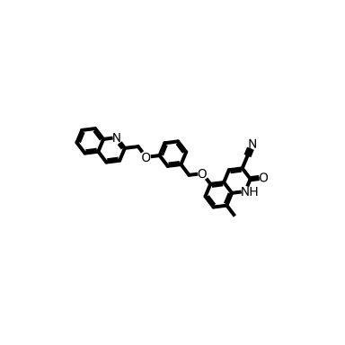 Cc1ccc(OCc2cccc(OCc3ccc4ccccc4n3)c2)c2cc(C#N)c(=O)[nH]c12